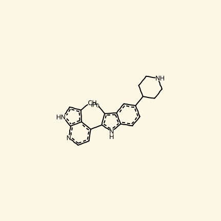 Cc1c[nH]c2nccc(-c3[nH]c4ccc(C5CCNCC5)cc4c3C(C)C)c12